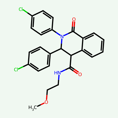 COCCNC(=O)C1c2ccccc2C(=O)N(c2ccc(Cl)cc2)C1c1ccc(Cl)cc1